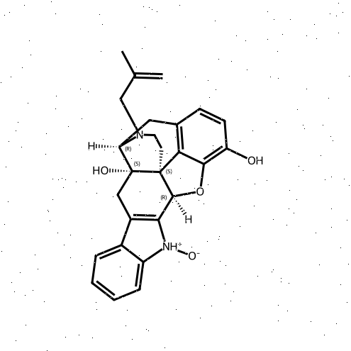 C=C(C)CN1CC[C@]23c4c5ccc(O)c4O[C@H]2C2=C(C[C@@]3(O)[C@H]1C5)c1ccccc1[NH+]2[O-]